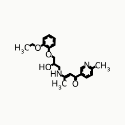 CCOc1ccccc1OCC(O)CNC(C)=CC(=O)c1ccc(C)nc1